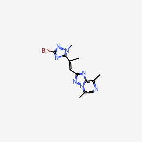 C/C(=C\c1nc2c(C)ncc(C)n2n1)c1nc(Br)nn1C